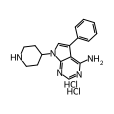 Cl.Cl.Nc1ncnc2c1c(-c1ccccc1)cn2C1CCNCC1